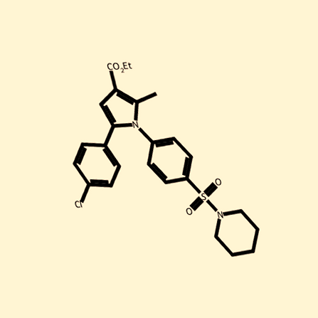 CCOC(=O)c1cc(-c2ccc(Cl)cc2)n(-c2ccc(S(=O)(=O)N3CCCCC3)cc2)c1C